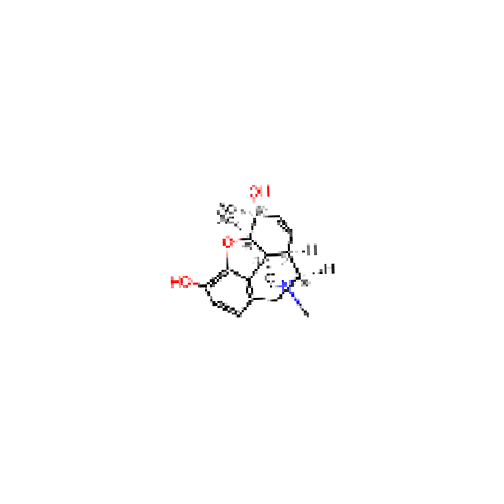 CC(=O)[C@@]12Oc3c(O)ccc4c3[C@@]13CCN(C)[C@H](C4)[C@@H]3C=C[C@@]2(O)C(C)=O